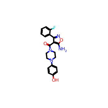 Nc1onc(-c2ccccc2F)c1C(=O)N1CCN(c2ccc(O)cc2)CC1